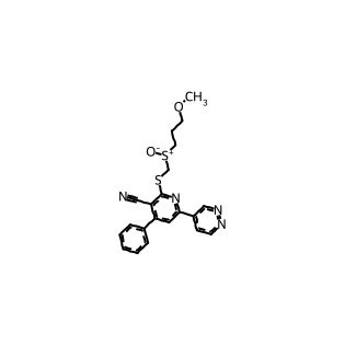 COCCC[S+]([O-])CSc1nc(-c2ccnnc2)cc(-c2ccccc2)c1C#N